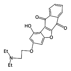 CCN(CC)CCOc1cc(O)c2c3c(oc2c1)C(=O)c1ccccc1C3=O